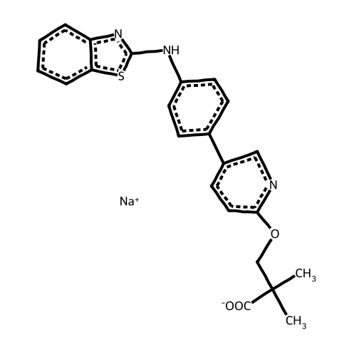 CC(C)(COc1ccc(-c2ccc(Nc3nc4ccccc4s3)cc2)cn1)C(=O)[O-].[Na+]